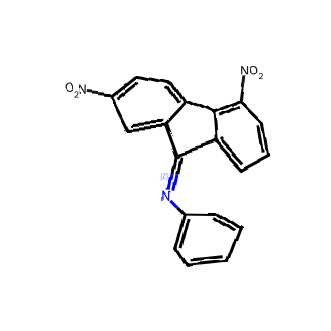 O=[N+]([O-])c1ccc2c(c1)/C(=N/c1ccccc1)c1cccc([N+](=O)[O-])c1-2